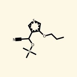 CCCOc1cscc1C(C#N)O[Si](C)(C)C